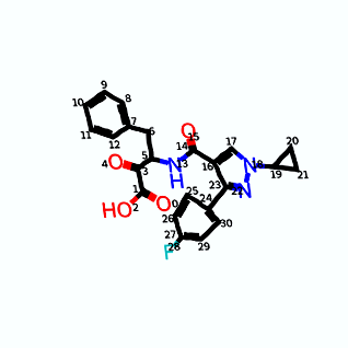 O=C(O)C(=O)C(Cc1ccccc1)NC(=O)c1cn(C2CC2)nc1-c1ccc(F)cc1